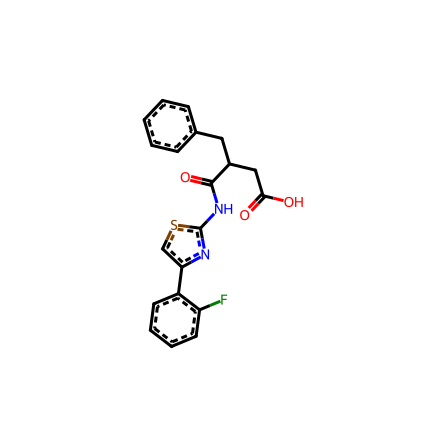 O=C(O)CC(Cc1ccccc1)C(=O)Nc1nc(-c2ccccc2F)cs1